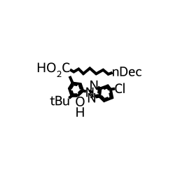 CCCCCCCCCCCCCCCCCC(=O)O.Cc1cc(-n2nc3ccc(Cl)cc3n2)c(O)c(C(C)(C)C)c1